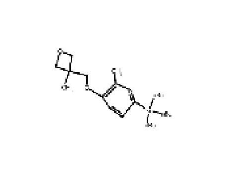 CCC[CH2][Sn]([CH2]CCC)([CH2]CCC)[c]1ccc(OCC2(C)COC2)c(C)n1